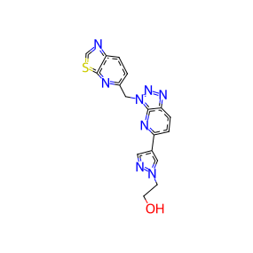 OCCn1cc(-c2ccc3nnn(Cc4ccc5ncsc5n4)c3n2)cn1